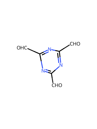 O=Cc1nc(C=O)nc(C=O)n1